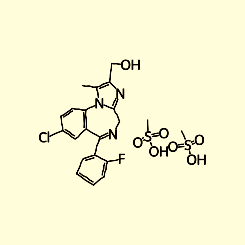 CS(=O)(=O)O.CS(=O)(=O)O.Cc1c(CO)nc2n1-c1ccc(Cl)cc1C(c1ccccc1F)=NC2